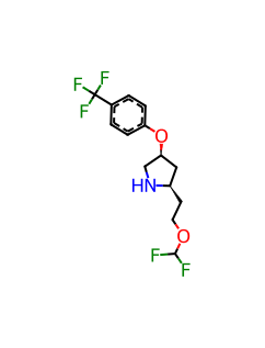 FC(F)OCC[C@@H]1C[C@H](Oc2ccc(C(F)(F)F)cc2)CN1